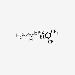 CCC(C)(PCCNCCP)c1cc(C(F)(F)F)cc(C(F)(F)F)c1